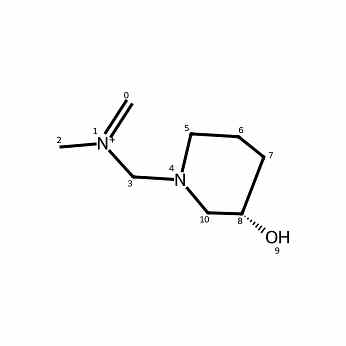 C=[N+](C)CN1CCC[C@H](O)C1